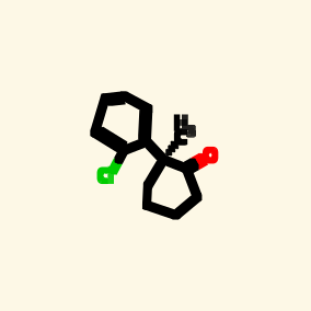 C[C@@]1(c2ccccc2Cl)CCCCC1=O